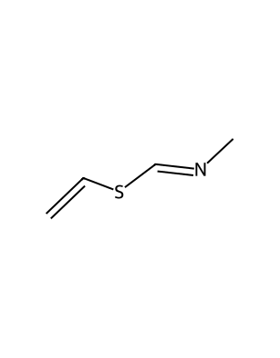 C=CSC=NC